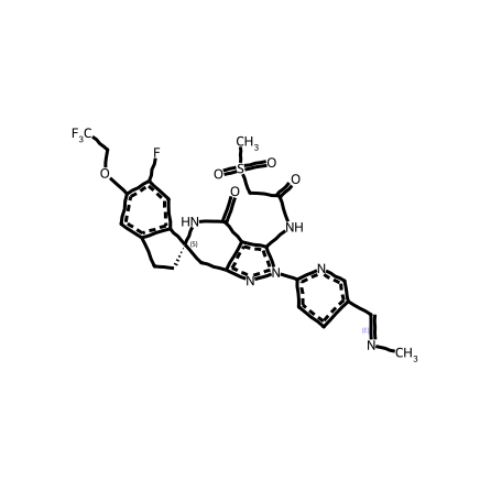 C/N=C/c1ccc(-n2nc3c(c2NC(=O)CS(C)(=O)=O)C(=O)N[C@@]2(CCc4cc(OCC(F)(F)F)c(F)cc42)C3)nc1